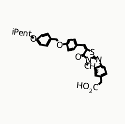 CCCC(C)Oc1ccc(COc2ccc(C=C3SC(=Nc4ccc(CC(=O)O)cc4)N(C)C3=O)cc2)cc1